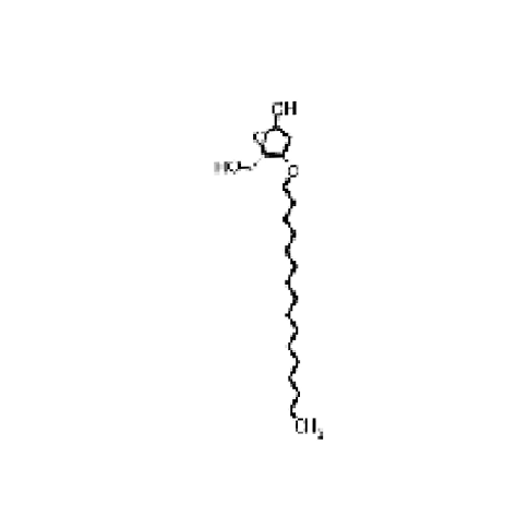 CCCCCCCCCCCCCCCCO[C@H]1CC(O)O[C@H]1CO